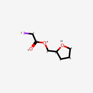 O=C(CI)OCC1CCCO1